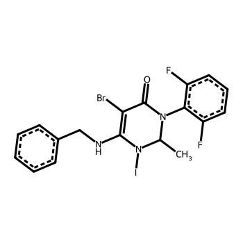 CC1N(I)C(NCc2ccccc2)=C(Br)C(=O)N1c1c(F)cccc1F